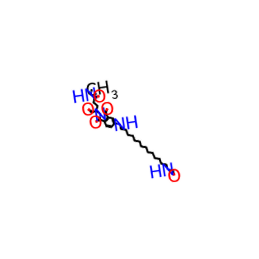 CNC(=O)CCC(C=O)N1C(=O)c2ccc(NCCCCCCCCCCCCCCNC=O)cc2C1=O